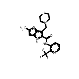 Cc1cc2[nH]c(C(=O)Nc3cccnc3C(F)(F)F)c(CN3CCOCC3)c2s1